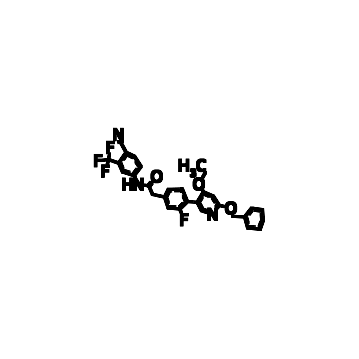 CCOc1cc(OCc2ccccc2)ncc1-c1ccc(CC(=O)Nc2ccc(C#N)c(C(F)(F)F)c2)cc1F